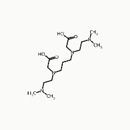 CN(C)CCN(CCCN(CCN(C)C)CC(=O)O)CC(=O)O